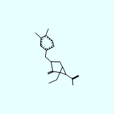 CCC12C(=O)C(Cc3ccc(F)c(Cl)c3)CC1C2C(=O)O